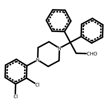 O=CCC(c1ccccc1)(c1ccccc1)N1CCN(c2cccc(Cl)c2Cl)CC1